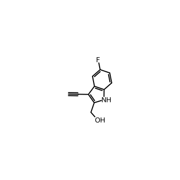 C#Cc1c(CO)[nH]c2ccc(F)cc12